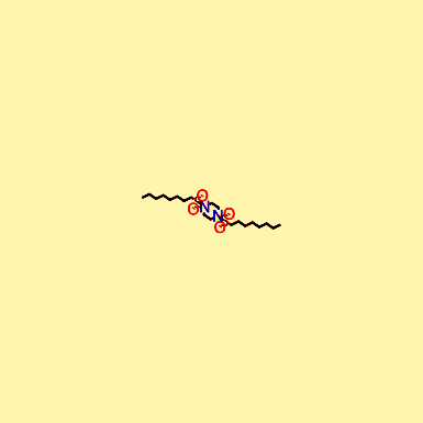 CCCCCCCCS(=O)(=O)N1CCN(S(=O)(=O)CCCCCCCC)CC1